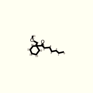 CCCCCCC(=O)C1(COC)CCCCC1